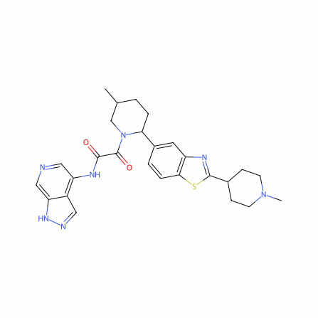 CC1CCC(c2ccc3sc(C4CCN(C)CC4)nc3c2)N(C(=O)C(=O)Nc2cncc3[nH]ncc23)C1